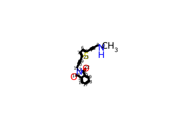 CNCC#Cc1ccc(C#CCN2C(=O)c3ccccc3C2=O)s1